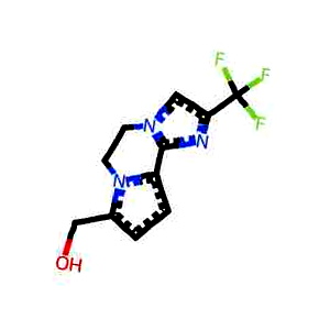 OCc1ccc2n1CCn1cc(C(F)(F)F)nc1-2